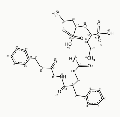 CC(=O)SCC(Cc1ccccc1)C(=O)NCC(=O)OCc1ccccc1.CCCC(OC(CCC)S(=O)(=O)O)S(=O)(=O)O